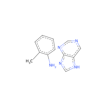 Cc1ccccc1N.c1ncc2[nH]cnc2n1